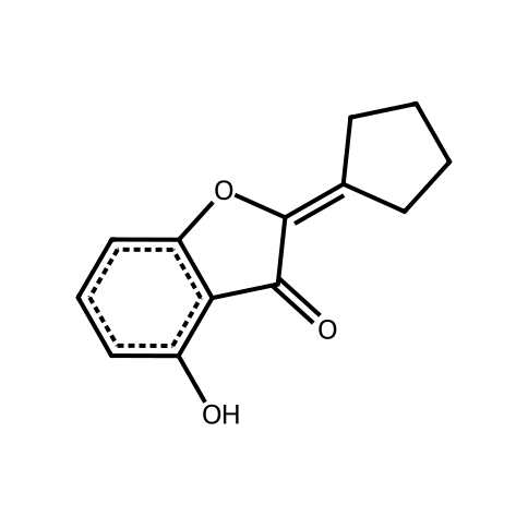 O=C1C(=C2CCCC2)Oc2cccc(O)c21